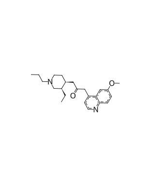 CCCN1CC[C@@H](CC(=O)Cc2ccnc3ccc(OC)cc23)[C@@H](CC)C1